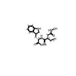 CNC(=O)[C@H](CC1CNc2ccccc21)NC(=O)[C@@H](CC(=O)NO)CC(C)C